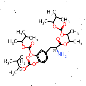 CC(C)C(C)OC(=O)Oc1cc(C[C@H](N)C(=O)OC(C)C(C)OC(=O)OC(C)C(C)C)ccc1OC(=O)O[C@@H](C)C(C)C